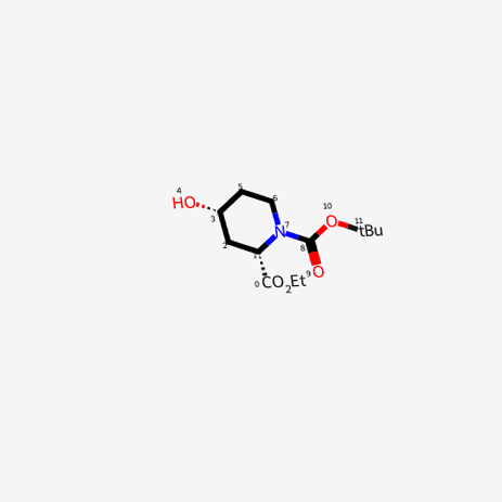 CCOC(=O)[C@@H]1C[C@H](O)CCN1C(=O)OC(C)(C)C